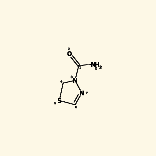 NC(=O)N1CSC=N1